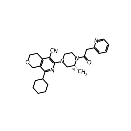 C[C@@H]1CN(c2nc(C3CCCCC3)c3c(c2C#N)CCOC3)CCN1C(=O)Cc1ccccn1